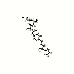 O=C(NCC1CCN(CCNC(=O)C2CCCC2)CC1)c1cc(F)cc(C(F)(F)F)c1